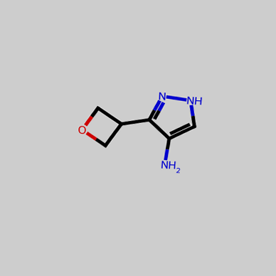 Nc1c[nH]nc1C1COC1